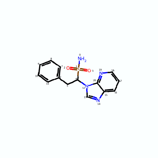 NS(=O)(=O)C(Cc1ccccc1)n1cnc2cccnc21